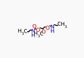 CCCNCOCC(COC(=O)NCCC)OC